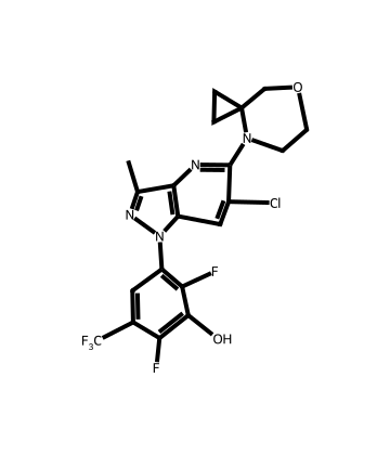 Cc1nn(-c2cc(C(F)(F)F)c(F)c(O)c2F)c2cc(Cl)c(N3CCOCC34CC4)nc12